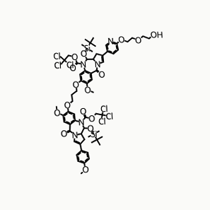 COc1ccc(C2=CN3C(=O)c4cc(OC)c(OCCCOc5cc6c(cc5OC)C(=O)N5C=C(c7ccc(OCCOCCO)nc7)CC5C(O[Si](C)(C)C(C)(C)C)N6C(=O)OCC(Cl)(Cl)Cl)cc4N(C(=O)OCC(Cl)(Cl)Cl)C(O[Si](C)(C)C(C)(C)C)C3C2)cc1